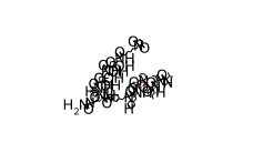 CC[C@H](C)[C@@H]([C@@H](CC(=O)N1CCCC[C@H]1[C@H](OC)[C@@H](C)C(=O)NC(Cc1ccccc1)C(=O)NCCc1ccc(NC(=O)[C@@H](CCCNC(N)=O)NC(=O)C(NC(=O)C2O[C@H](CNC(=O)C3O[C@H](CNC(=O)CCCCCN4C(=O)C=CC4=O)C(O)C3O)C(O)C2O)C(C)C)cc1)OC)N(C)C(=O)C(NC(=O)C(C(C)C)N(C)C)C(C)C